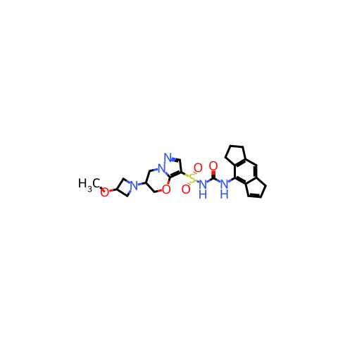 COC1CN(C2COc3c(S(=O)(=O)NC(=O)Nc4c5c(cc6c4CCC6)CC=C5)cnn3C2)C1